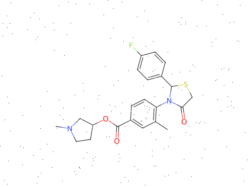 Cc1cc(C(=O)OC2CCN(C)C2)ccc1N1C(=O)CSC1c1ccc(F)cc1